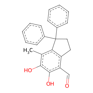 Cc1c(O)c(O)c(C=O)c2c1C(c1ccccc1)(c1ccccc1)CC2